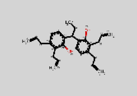 C=CCc1ccc(C(CC)c2ccc(CC=C)c(CC=C)c2O)c(O)c1CC=C